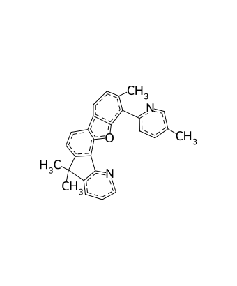 Cc1ccc(-c2c(C)ccc3c2oc2c4c(ccc23)C(C)(C)c2cccnc2-4)nc1